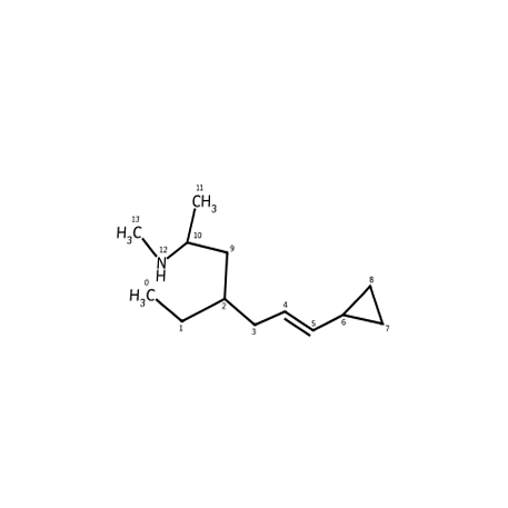 CCC(CC=CC1CC1)CC(C)NC